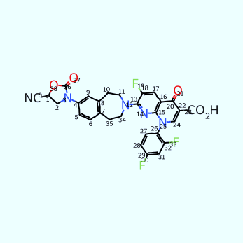 N#CC1CN(c2ccc3c(c2)CCN(c2nc4c(cc2F)c(=O)c(C(=O)O)cn4-c2ccc(F)cc2F)CC3)C(=O)O1